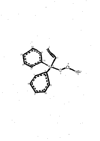 C=C[Si](OOC(C)(C)C)(c1ccccc1)c1ccccc1